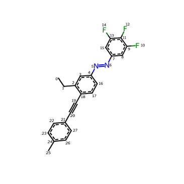 CCc1cc(N=Nc2cc(F)c(F)c(F)c2)ccc1C#Cc1ccc(C)cc1